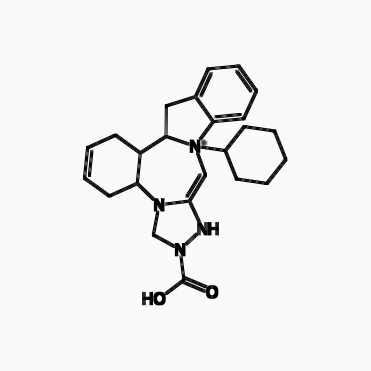 O=C(O)N1CN2C(=C[N+]3(C4CCCCC4)c4ccccc4CC3C3CC=CCC32)N1